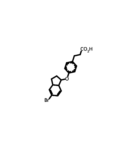 O=C(O)CCc1ccc(OC2CCC3C=C(Br)C=CC32)cc1